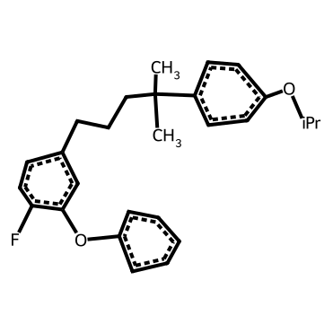 CC(C)Oc1ccc(C(C)(C)CCCc2ccc(F)c(Oc3ccccc3)c2)cc1